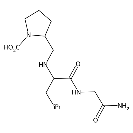 CC(C)CC(NCC1CCCN1C(=O)O)C(=O)NCC(N)=O